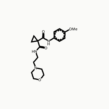 COc1ccc(NC(=O)C2(C(=O)NCCN3CCOCC3)CC2)cc1